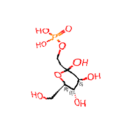 O=P(O)(O)OCC1(O)O[C@H](CO)[C@@H](O)[C@@H]1O